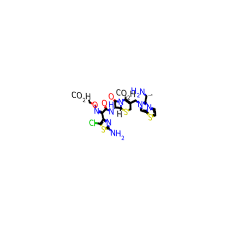 C[C@@H](N)c1n2ccsc2c[n+]1CC1=C(C(=O)O)N2C(=O)[C@@H](NC(=O)/C(=N\OCC(=O)O)c3nc(N)sc3Cl)[C@H]2SC1